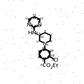 CCOC(=O)c1ccc(N2CCC[C@H](Nc3ncccn3)C2)cc1Cl